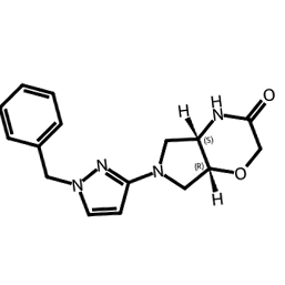 O=C1CO[C@@H]2CN(c3ccn(Cc4ccccc4)n3)C[C@@H]2N1